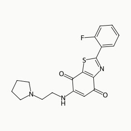 O=C1C=C(NCCN2CCCC2)C(=O)c2sc(-c3ccccc3F)nc21